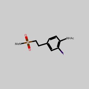 CNS(=O)(=O)CCc1ccc(NC(C)=O)c(I)c1